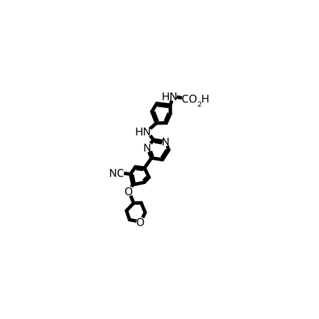 N#Cc1cc(-c2ccnc(Nc3ccc(NC(=O)O)cc3)n2)ccc1OC1CCOCC1